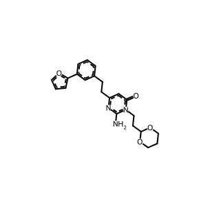 Nc1nc(CCc2cccc(-c3ccco3)c2)cc(=O)n1CCC1OCCCO1